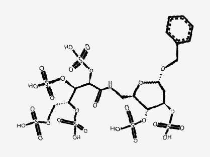 O=C(NC[C@H]1O[C@H](OCc2ccccc2)[CH][C@@H](OS(=O)(=O)O)[C@@H]1OS(=O)(=O)O)[C@H](OS(=O)(=O)O)[C@H](OS(=O)(=O)O)[C@@H](COS(=O)(=O)O)OS(=O)(=O)O